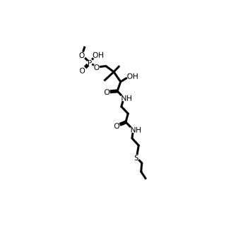 CCCSCCNC(=O)CCNC(=O)C(O)C(C)(C)COP(=O)(O)OC